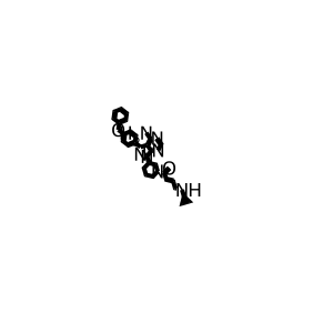 Nc1ncnc2c1c(-c1ccc(Oc3ccccc3)cc1)nn2C1CCCN(C(=O)C=CCNC2CC2)C1